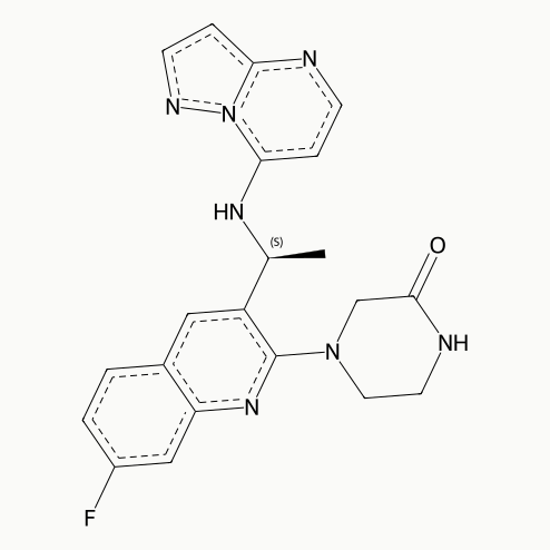 C[C@H](Nc1ccnc2ccnn12)c1cc2ccc(F)cc2nc1N1CCNC(=O)C1